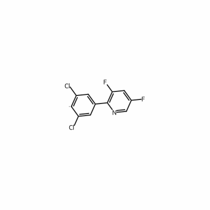 Fc1cnc(-c2cc(Cl)[c]c(Cl)c2)c(F)c1